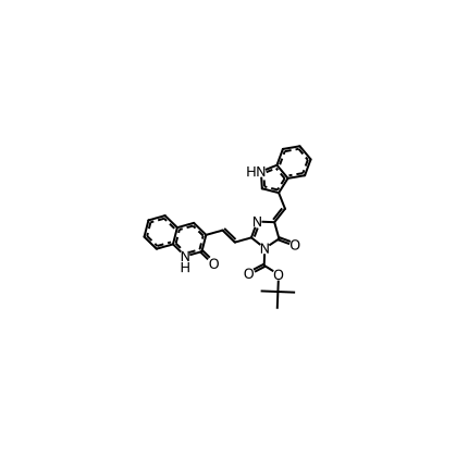 CC(C)(C)OC(=O)N1C(=O)/C(=C/c2c[nH]c3ccccc23)N=C1/C=C/c1cc2ccccc2[nH]c1=O